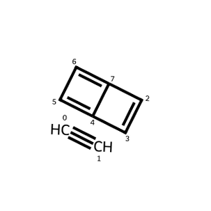 C#C.c1cc2ccc1-2